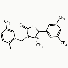 C[C@H]1C(c2cc(C(F)(F)F)cc(C(F)(F)F)c2)OC(=O)N1Cc1cc(C(F)(F)F)ccc1I